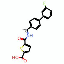 C[C@@H](NC(=O)c1ccc(C(=O)O)s1)c1ccc(-c2cccc(F)c2)cc1